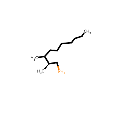 CCCCCCCC(C)[C@H](C)CP